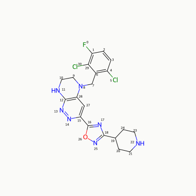 Fc1ccc(Cl)c(CN2CCNc3nnc(-c4nc(C5CCNCC5)no4)cc32)c1Cl